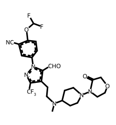 CN(CCc1c(C(F)(F)F)nn(-c2ccc(OC(F)F)c(C#N)c2)c1C=O)C1CCN(N2CCOCC2=O)CC1